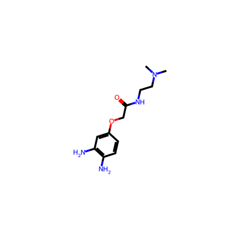 CN(C)CCNC(=O)COc1ccc(N)c(N)c1